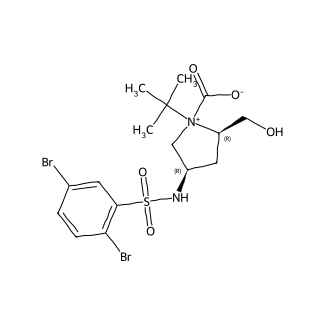 CC(C)(C)[N+]1(C(=O)[O-])C[C@H](NS(=O)(=O)c2cc(Br)ccc2Br)C[C@@H]1CO